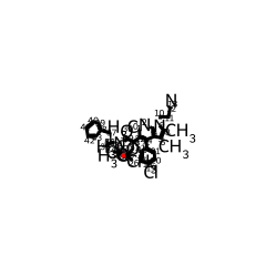 Cc1nc2c(c(C)c(C)n2CCC#N)c(-c2ccc(Cl)cc2)c1[C@@H](OC(C)(C)C)C(=O)N1C(=O)OC[C@H]1Cc1ccccc1